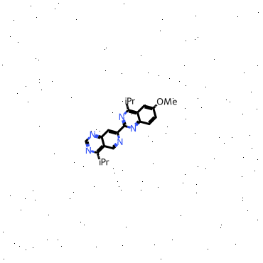 COc1ccc2nc(-c3cc4ncnc(C(C)C)c4cn3)nc(C(C)C)c2c1